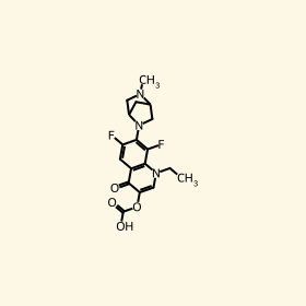 CCn1cc(OC(=O)O)c(=O)c2cc(F)c(N3CC4CC3CN4C)c(F)c21